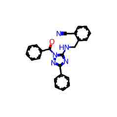 N#Cc1ccccc1CNc1nc(-c2ccccc2)nn1C(=O)c1ccccc1